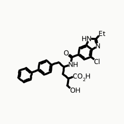 CCc1nc2c(Cl)cc(C(=O)NC(Cc3ccc(-c4ccccc4)cc3)CC(CO)C(=O)O)cc2[nH]1